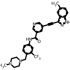 Cc1ccc2[nH]nc(C#Cc3cncc(C(=O)Nc4ccc(CN5CCN(C)CC5)c(C(F)(F)F)c4)c3)c2c1